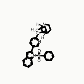 C[C@H]1[C@H](Oc2ccc(-c3cc4ccccc4n3S(=O)(=O)c3ccccc3)cn2)C2CCN1CC2